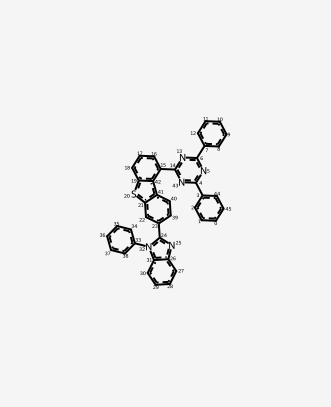 c1ccc(-c2nc(-c3ccccc3)nc(-c3cccc4sc5cc(-c6nc7ccccc7n6-c6ccccc6)ccc5c34)n2)cc1